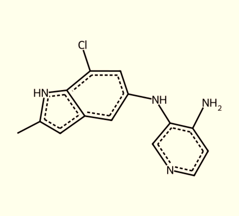 Cc1cc2cc(Nc3cnccc3N)cc(Cl)c2[nH]1